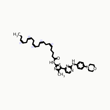 CC/C=C\C/C=C\C/C=C\C/C=C\C/C=C\CCCC(=O)Nc1nc(C)c(-c2ccnc(Nc3ccc(N4CCOCC4)cc3)n2)s1